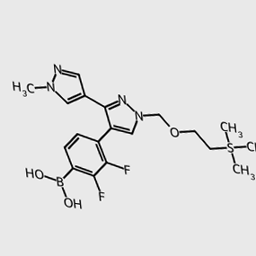 Cn1cc(-c2nn(COCCS(C)(C)C)cc2-c2ccc(B(O)O)c(F)c2F)cn1